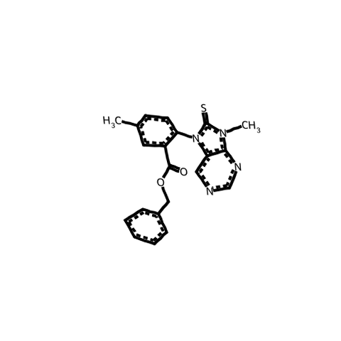 Cc1ccc(-n2c(=S)n(C)c3ncncc32)c(C(=O)OCc2ccccc2)c1